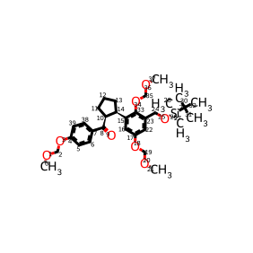 COCOc1ccc(C(=O)[C@H]2CCC[C@H]2c2cc(OCOC)cc(CO[Si](C)(C)C(C)(C)C)c2OCOC)cc1